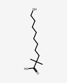 CC(C)(CCCCCCCCO)C(=O)O